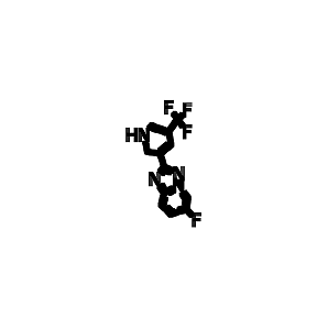 Fc1ccc2nc(C3=CC(C(F)(F)F)=CNC3)nn2c1